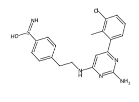 Cc1c(Cl)cccc1-c1cc(NCCc2ccc(S(=N)O)cc2)nc(N)n1